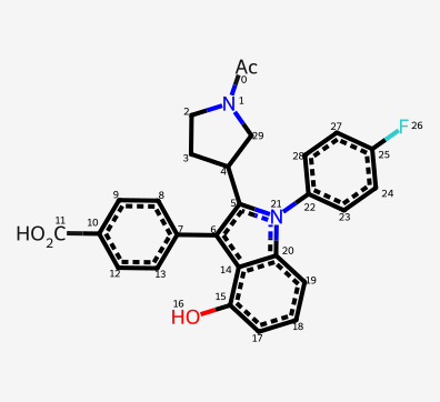 CC(=O)N1CCC(c2c(-c3ccc(C(=O)O)cc3)c3c(O)cccc3n2-c2ccc(F)cc2)C1